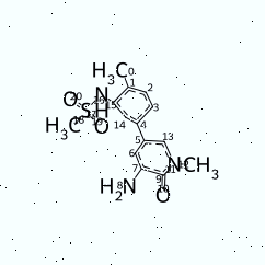 Cc1ccc(-c2cc(N)c(=O)n(C)c2)cc1NS(C)(=O)=O